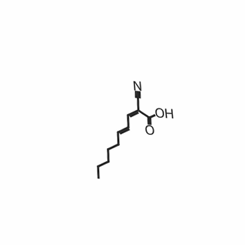 CCCCCC=CC=C(C#N)C(=O)O